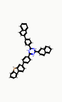 c1ccc2cc(-c3ccc(-c4nc(-c5ccc(-c6ccc7c(c6)sc6ccccc67)cc5)nc(-c5ccc6ccccc6c5)n4)cc3)ccc2c1